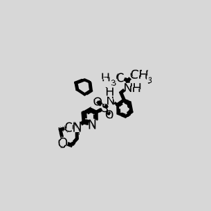 C1CCCCC1.CC(C)NCc1ccccc1NS(=O)(=O)c1ccc(N2CCOCC2)nc1